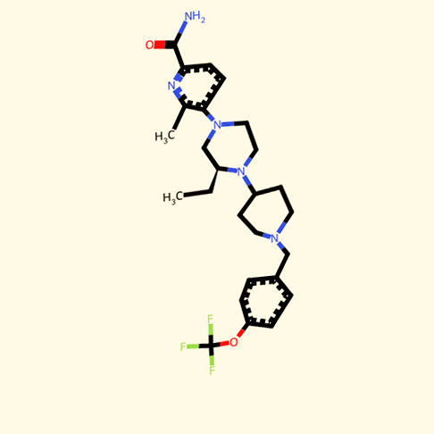 CC[C@H]1CN(c2ccc(C(N)=O)nc2C)CCN1C1CCN(Cc2ccc(OC(F)(F)F)cc2)CC1